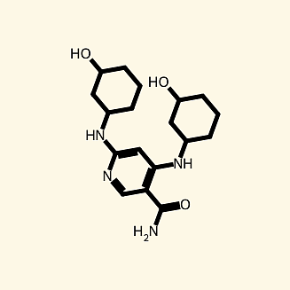 NC(=O)c1cnc(NC2CCCC(O)C2)cc1NC1CCCC(O)C1